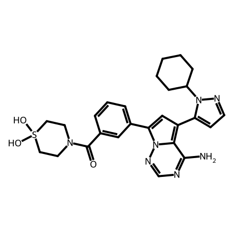 Nc1ncnn2c(-c3cccc(C(=O)N4CCS(O)(O)CC4)c3)cc(-c3ccnn3C3CCCCC3)c12